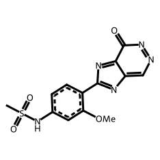 COc1cc(NS(C)(=O)=O)ccc1C1=NC2=CN=NC(=O)C2=N1